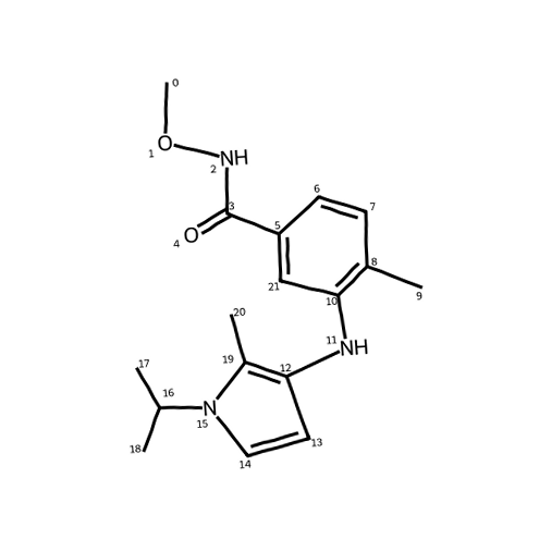 CONC(=O)c1ccc(C)c(Nc2ccn(C(C)C)c2C)c1